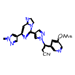 COc1cncc(C(CC#N)n2cc(-c3nc(-c4cnn(C)c4)cc4nccn34)cn2)c1